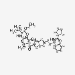 CCOC(=O)C(Nc1nc(C)c(C(=O)N2CC3CN(CCC(NC(=O)C4CCCC4)c4ccccc4)CC3C2)c(C)n1)C(C)C